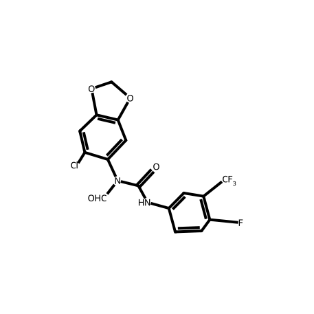 O=CN(C(=O)Nc1ccc(F)c(C(F)(F)F)c1)c1cc2c(cc1Cl)OCO2